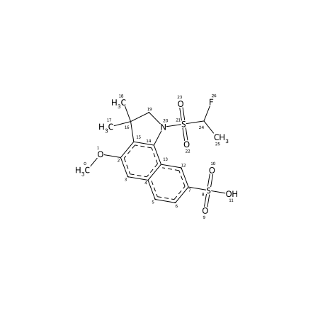 COc1cc2ccc(S(=O)(=O)O)cc2c2c1C(C)(C)CN2S(=O)(=O)C(C)F